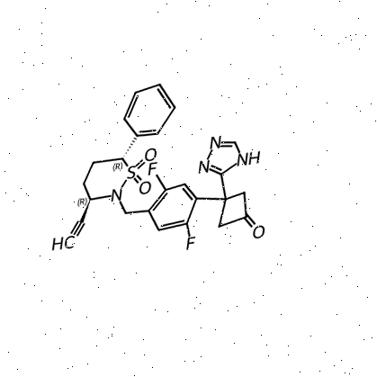 C#C[C@H]1CC[C@H](c2ccccc2)S(=O)(=O)N1Cc1cc(F)c(C2(c3nnc[nH]3)CC(=O)C2)cc1F